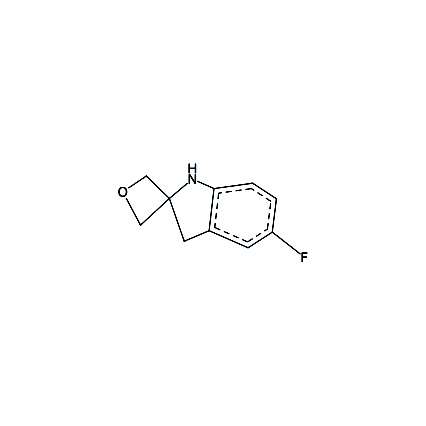 Fc1ccc2c(c1)CC1(COC1)N2